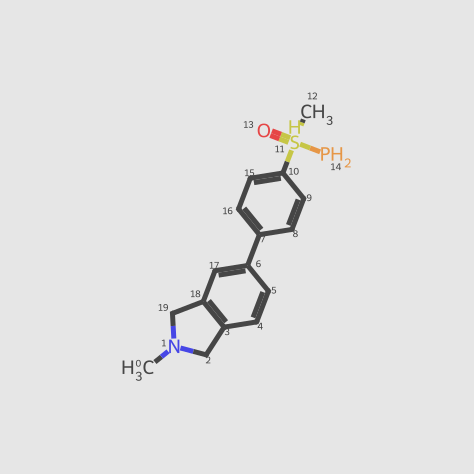 CN1Cc2ccc(-c3ccc([SH](C)(=O)P)cc3)cc2C1